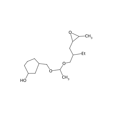 CCC(COC(C)OCC1CCCC(O)C1)CC1OC1C